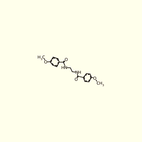 COc1ccc(C(=O)NCCNC(=O)c2ccc(OC)cc2)cc1